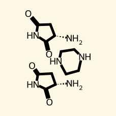 C1CNCCN1.N[C@H]1CC(=O)NC1=O.N[C@H]1CC(=O)NC1=O